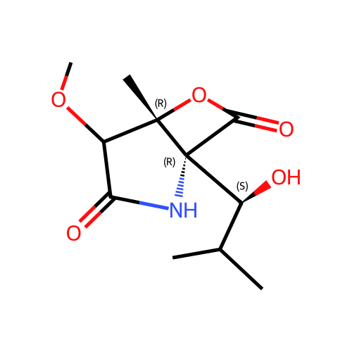 COC1C(=O)N[C@@]2([C@@H](O)C(C)C)C(=O)O[C@@]12C